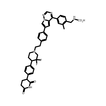 Cc1cc(-c2ncnn3cc(-c4ccc(CCN5CCC(c6ccc(C7CCC(=O)NC7=O)cc6)C(F)(F)C5)cc4)cc23)ccc1CNC(=O)O